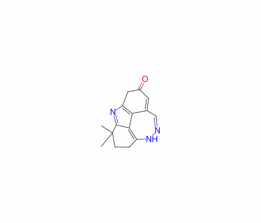 CC1(C)CCC2=C3C1=NC1=C3C(=CC(=O)C1)C=NN2